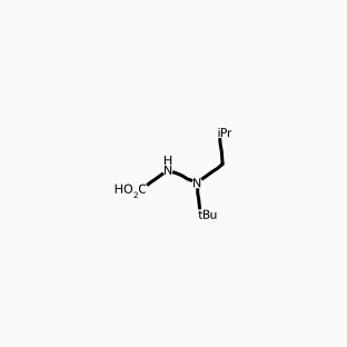 CC(C)CN(NC(=O)O)C(C)(C)C